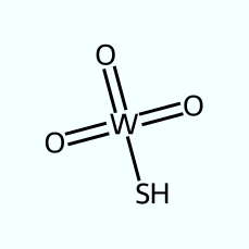 [O]=[W](=[O])(=[O])[SH]